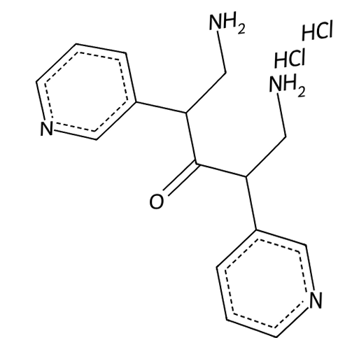 Cl.Cl.NCC(C(=O)C(CN)c1cccnc1)c1cccnc1